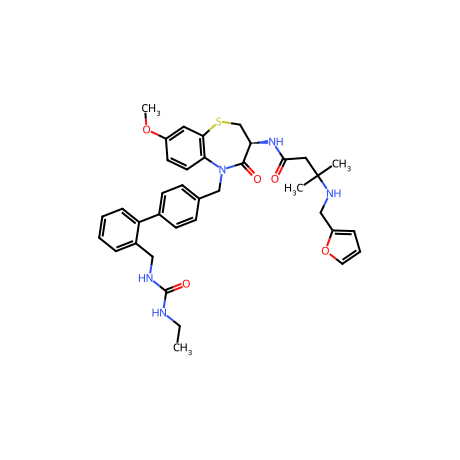 CCNC(=O)NCc1ccccc1-c1ccc(CN2C(=O)[C@H](NC(=O)CC(C)(C)NCc3ccco3)CSc3cc(OC)ccc32)cc1